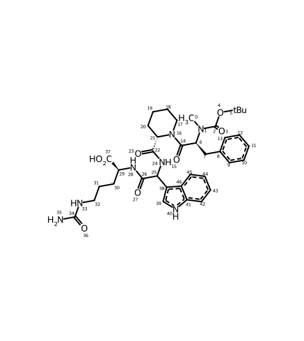 CN(C(=O)OC(C)(C)C)[C@@H](Cc1ccccc1)C(=O)N1CCCC[C@H]1C(=O)NC(C(=O)N[C@@H](CCCNC(N)=O)C(=O)O)c1c[nH]c2ccccc12